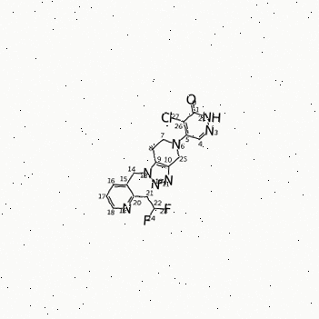 O=c1[nH]ncc(N2CCc3c(nnn3Cc3cccnc3CC(F)F)C2)c1Cl